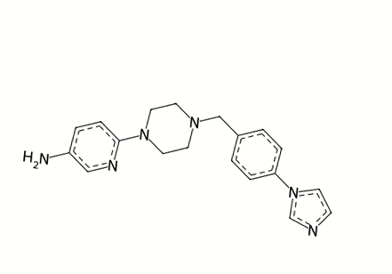 Nc1ccc(N2CCN(Cc3ccc(-n4ccnc4)cc3)CC2)nc1